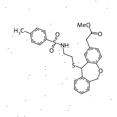 COC(=O)Cc1ccc2c(c1)C(SCCNS(=O)(=O)c1ccc(C)cc1)c1ccccc1CO2